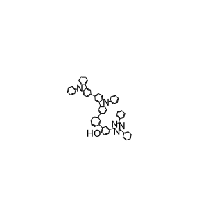 Oc1ccc(-c2nc(-c3ccccc3)nc(-c3ccccc3)n2)cc1C1=CC(c2ccc3c(c2)c2cc(-c4ccc5c(c4)c4ccccc4n5-c4ccccc4)ccc2n3-c2ccccc2)=CCC#C1